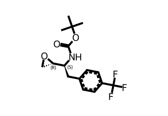 CC(C)(C)OC(=O)N[C@@H](Cc1ccc(C(F)(F)F)cc1)[C@@H]1CO1